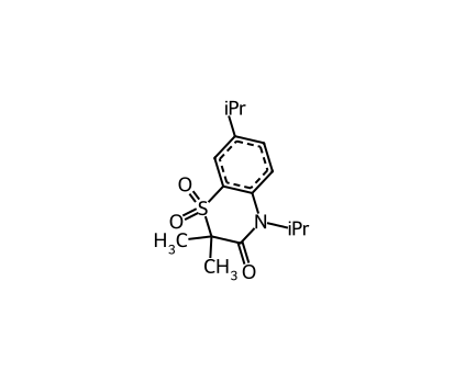 CC(C)c1ccc2c(c1)S(=O)(=O)C(C)(C)C(=O)N2C(C)C